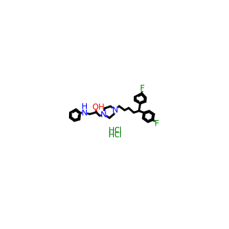 Cl.Cl.OC(CNc1ccccc1)CN1CCN(CCCCC(c2ccc(F)cc2)c2ccc(F)cc2)CC1